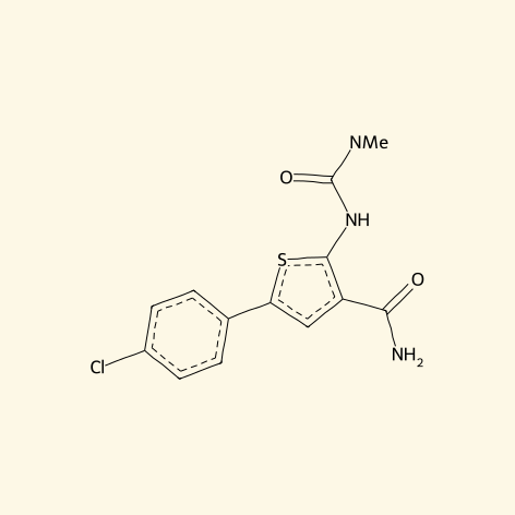 CNC(=O)Nc1sc(-c2ccc(Cl)cc2)cc1C(N)=O